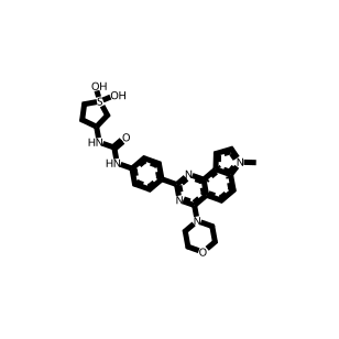 Cn1ccc2c3nc(-c4ccc(NC(=O)NC5CCS(O)(O)C5)cc4)nc(N4CCOCC4)c3ccc21